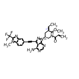 C=CC(=O)NC[C@H](C/C(=C/C)COC)n1nc(C#Cc2ccc3c(c2)nc(C(F)(F)F)n3C)c2c(N)ncnc21